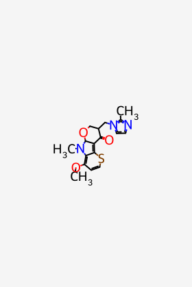 COC1=C2C(=C3C(=O)C(Cn4ccnc4C)COC3N2C)SC=C1